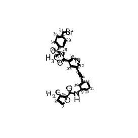 Cc1ccoc1C(=O)Nc1cccc(C#Cc2cncc(C(=O)N=S(C)(=O)c3ccc(CBr)cc3)c2)c1